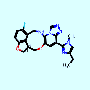 CCc1cn(C)c(-c2cc3c(n4cnnc24)NCc2c(F)ccc4c2[C@H](CO4)CO3)n1